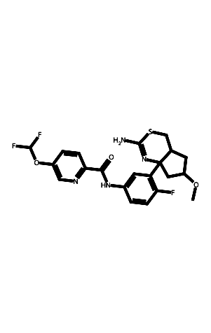 COC1CC2CSC(N)=NC2(c2cc(NC(=O)c3ccc(OC(F)F)cn3)ccc2F)C1